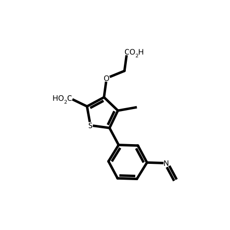 C=Nc1cccc(-c2sc(C(=O)O)c(OCC(=O)O)c2C)c1